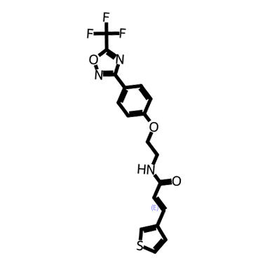 O=C(/C=C/c1ccsc1)NCCOc1ccc(-c2noc(C(F)(F)F)n2)cc1